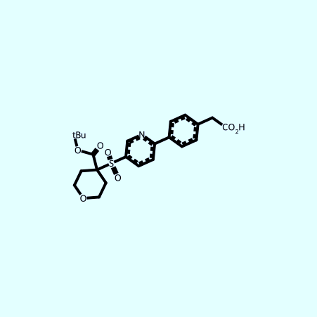 CC(C)(C)OC(=O)C1(S(=O)(=O)c2ccc(-c3ccc(CC(=O)O)cc3)nc2)CCOCC1